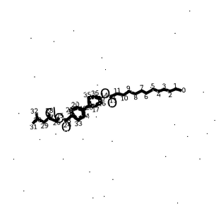 CCCCCCCCCCCCC(=O)Oc1ccc(-c2ccc(C(=O)OCC(Cl)CC(C)C)cc2)cc1